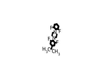 CC(C)c1cc(F)c(N2CCN(c3c(F)cccc3F)CC2)c(F)c1